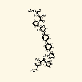 COC(=O)N[C@H](C(=O)N1CCC[C@H]1C1=NCC(c2ccc(-c3ccc(-c4cnc([C@@H]5CCCN5C(=O)[C@@H](NC(=O)CO)C(C)C)[nH]4)cc3)cc2)N1)C(C)C